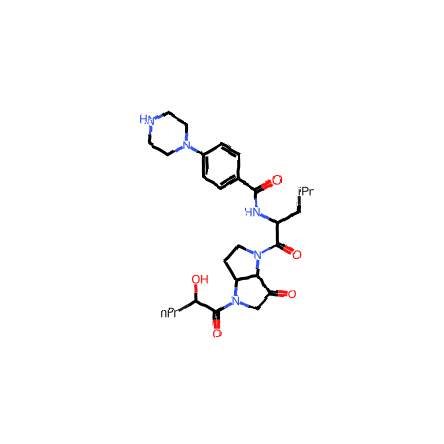 CCCC(O)C(=O)N1CC(=O)C2C1CCN2C(=O)C(CC(C)C)NC(=O)c1ccc(N2CCNCC2)cc1